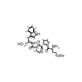 CSCC[C@H](N)C(=O)N1CCC[C@H]1C(=O)N[C@@H](CC(C)C)C(=O)N[C@@H](Cc1c[nH]c2ccccc12)C(=O)O